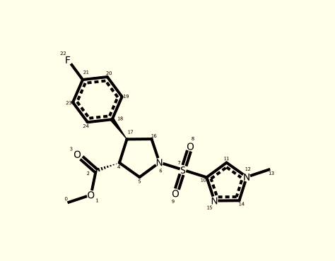 COC(=O)[C@H]1CN(S(=O)(=O)c2cn(C)cn2)C[C@@H]1c1ccc(F)cc1